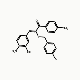 O=C(C(=Cc1ccc([N+](=O)[O-])c(O)c1)SCc1ccc(Br)cc1)c1ccc([N+](=O)[O-])cc1